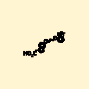 CCCc1ccccc1OCCCOc1ccc2c(c1)CC[C@H]2CC(=O)O